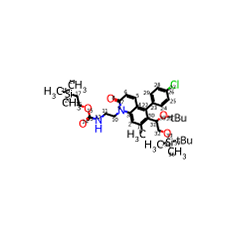 Cc1cc2c(ccc(=O)n2CCNC(=O)OCC[Si](C)(C)C)c(-c2ccc(Cl)cc2)c1C(CO[Si](C)(C)C(C)(C)C)OC(C)(C)C